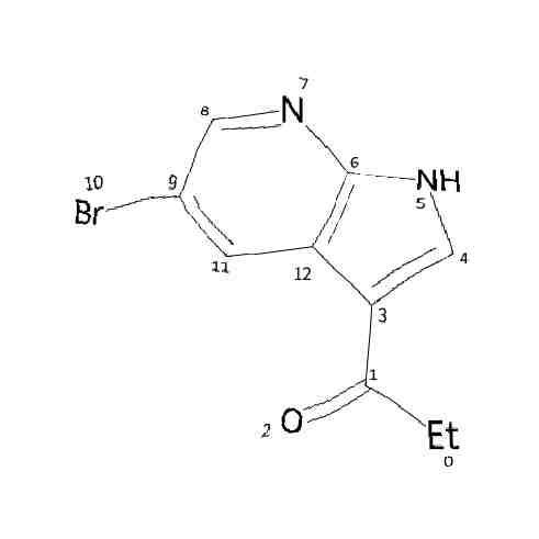 CCC(=O)c1c[nH]c2ncc(Br)cc12